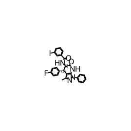 Cc1nn(-c2ccccc2)c2c1[C@H](c1ccc(F)cc1)[C@H](NC(=O)c1cccc(I)c1)C(=O)N2